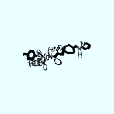 Cc1ccc(S(=O)(=O)N[C@@H](CNC(=O)C2=NOC3(CCC(CNc4ccccn4)CC3)C2)C(=O)O)c(Cl)c1